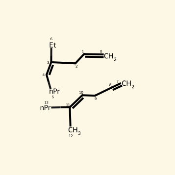 C=CCC(=CCCC)CC.C=CCC=C(C)CCC